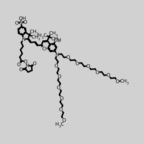 C=C(/C=C(\c1ccc(N(CCOCCOCCOCCOCCOCCOC)CCOCCOCCOCCOCCOCCOC)cc1O)C(C)(C)C)/C=C/C=C1/N(CCCCCC(=O)ON2C(=O)CCC2=O)c2ccc(S(=O)(=O)O)cc2C1(C)C